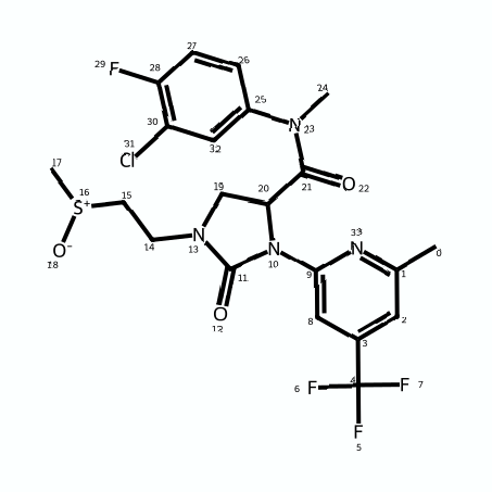 Cc1cc(C(F)(F)F)cc(N2C(=O)N(CC[S+](C)[O-])CC2C(=O)N(C)c2ccc(F)c(Cl)c2)n1